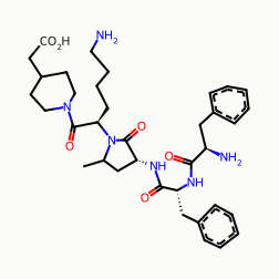 CC1C[C@@H](NC(=O)[C@@H](Cc2ccccc2)NC(=O)[C@H](N)Cc2ccccc2)C(=O)N1[C@H](CCCCN)C(=O)N1CCC(CC(=O)O)CC1